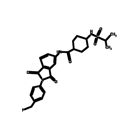 CC(C)S(=O)(=O)NC1CCC(C(=O)Nc2ccc3c(c2)C(=O)N(c2ccc(CF)cc2)C3=O)CC1